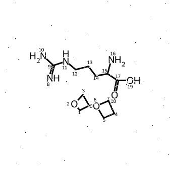 C1COC1.C1COC1.N=C(N)NCCCC(N)C(=O)O